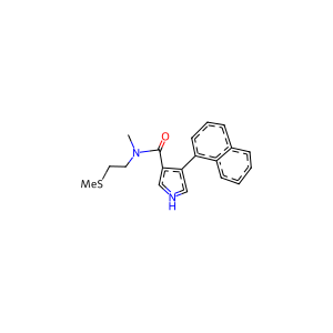 CSCCN(C)C(=O)c1c[nH]cc1-c1cccc2ccccc12